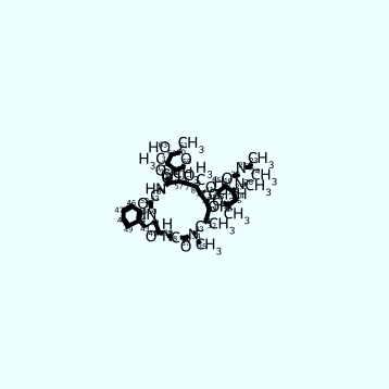 CO[C@]1(C)C[C@H](O[C@@H]2[C@H](C)[C@@H](O[C@@H]3O[C@H](C)C[C@H]4[C@H]3O/C(=N/C(C)C)N4C)[C@](C)(O)C[C@@H](C)CN(C)C(=O)CNC(=O)[C@@H](Cc3ccccc3)NC(=O)CNC(=O)[C@@H]2C)O[C@@H](C)[C@@H]1O